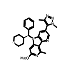 COc1cc2c(c(C)n1)c1ncc(-c3c(C)nnn3C)cc1n2[C@H](c1ccccc1)C1CCOCC1